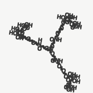 CC(COCCC(=O)NCCOCCOCCOC1OC(COP(=O)(O)O)C(O)C(O)C1O)(COCCC(=O)NCCOCCOCCOC1OC(COP(=O)(O)O)C(O)C(O)C1O)COCCC(=O)NCCOCCOCCOC1OC(COP(=O)(O)O)C(O)[C@@H](O)C1O